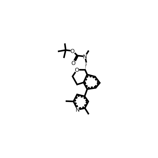 Cc1cc(-c2cccc3c2CCO[C@@H]3CN(C)C(=O)OC(C)(C)C)cc(C)n1